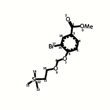 COC(=O)c1ccc(OCOCC[Si](C)(C)C)c(Br)c1